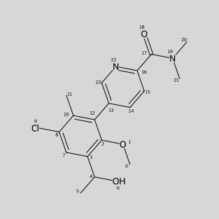 COc1c(C(C)O)cc(Cl)c(C)c1-c1ccc(C(=O)N(C)C)nc1